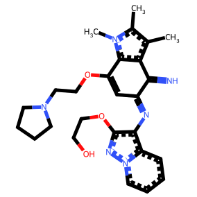 Cc1c2c(n(C)c1C)C(OCCN1CCCC1)=CC(=Nc1c(OCCO)nn3ccccc13)C2=N